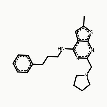 Cc1cc2c(NCCCc3ccccc3)nc(CN3CCCC3)nc2s1